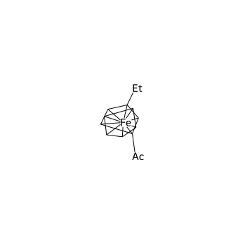 CC[C]12[CH]3[CH]4[C]5(C(C)=O)[CH]1[Fe]34251678[CH]2[CH]1[CH]6[CH]7[CH]28